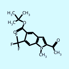 CC(=O)c1cc2cc(C(=O)OC(C)(C)C)c(C(F)(F)F)cc2n1C